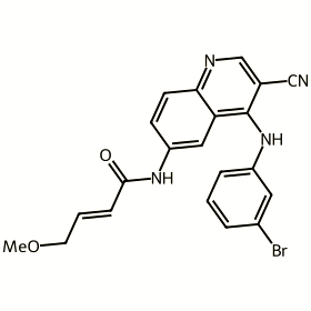 COCC=CC(=O)Nc1ccc2ncc(C#N)c(Nc3cccc(Br)c3)c2c1